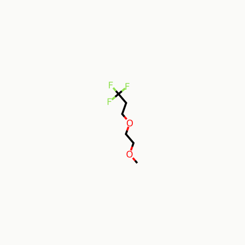 COCCOCCC(F)(F)F